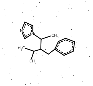 CC(C)C(Cc1ccccc1)C(C)n1ccnc1